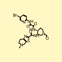 CN1CCc2nc(C(=O)N[C@@H]3CN(C=O)CC[C@@H]3NC(=O)C(=O)Nc3ccc(Br)cn3)sc2C1